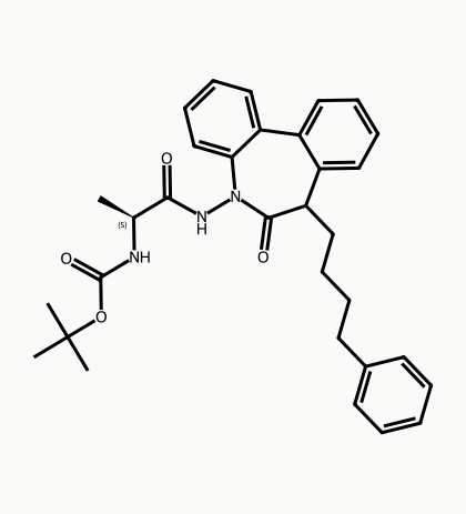 C[C@H](NC(=O)OC(C)(C)C)C(=O)NN1C(=O)C(CCCCc2ccccc2)c2ccccc2-c2ccccc21